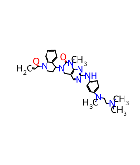 C=CC(=O)N1CCC(N2Cc3cnc(Nc4ccc(N(C)CCN(C)C)cc4)nc3N(C)C2=O)c2ccccc21